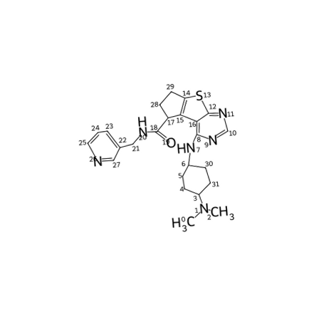 CN(C)C1CCC(Nc2ncnc3sc4c(c23)C(C(=O)NCc2cccnc2)CC4)CC1